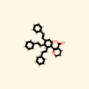 O=C(O)C1=C(c2ccc(C=Cc3ccccc3)c(C=Cc3ccccc3)c2C=Cc2ccccc2)OCCC1